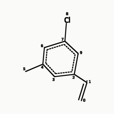 C=[C]c1cc(C)cc(Cl)c1